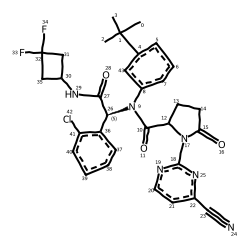 CC(C)(C)c1cccc(N(C(=O)C2CCC(=O)N2c2nccc(C#N)n2)[C@H](C(=O)NC2CC(F)(F)C2)c2ccccc2Cl)c1